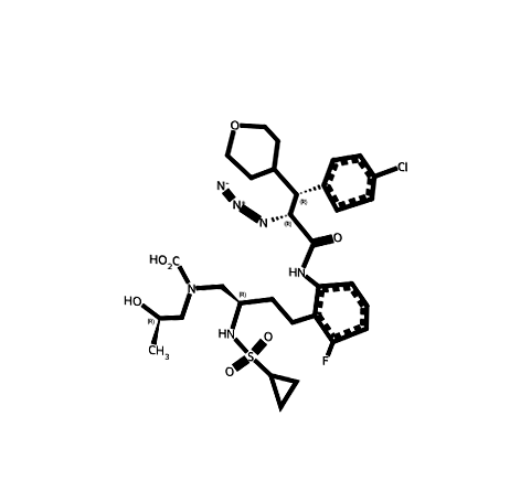 C[C@@H](O)CN(C[C@@H](CCc1c(F)cccc1NC(=O)[C@H](N=[N+]=[N-])[C@@H](c1ccc(Cl)cc1)C1CCOCC1)NS(=O)(=O)C1CC1)C(=O)O